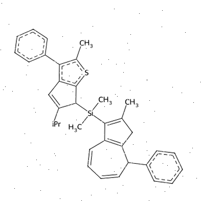 CC1=C([Si](C)(C)C2C(C(C)C)=Cc3c2sc(C)c3-c2ccccc2)C2=C(C1)C(c1ccccc1)C=CC=C2